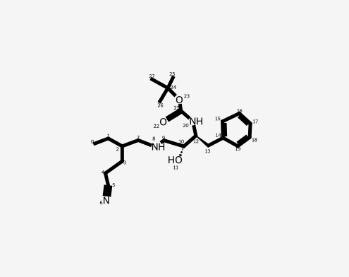 CCC(CCC#N)CNC[C@@H](O)[C@H](Cc1ccccc1)NC(=O)OC(C)(C)C